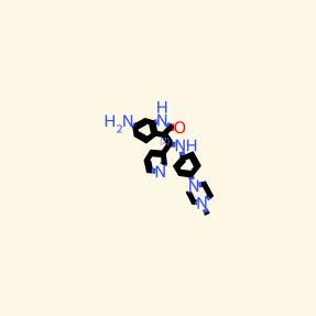 CN1CCN(c2ccc(N/C(=C3\C(=O)Nc4cc(N)ccc43)c3cccnc3)cc2)CC1